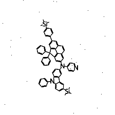 C[Si](C)(C)c1ccc(-c2cc3c4c(ccc5cc(N(c6ccncc6)c6ccc7c(c6)c6cc([Si](C)(C)C)ccc6n7-c6ccccc6)cc(c54)C3(c3ccccc3)c3ccccc3)c2)cc1